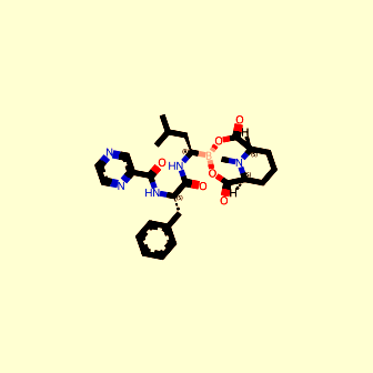 CC(C)C[C@H](NC(=O)[C@H](Cc1ccccc1)NC(=O)c1cnccn1)B1OC(=O)[C@@H]2CCC[C@@H](C(=O)O1)N2C